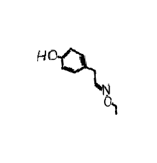 CCON=CCc1ccc(O)cc1